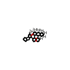 [2H]c1c([2H])c([2H])c2c(-c3ccccc3)c3c(-c4ccccc4-c4c(C)c(C)cc5c4Cc4ccccc4-5)c([2H])c([2H])c([2H])c3c([2H])c2c1[2H]